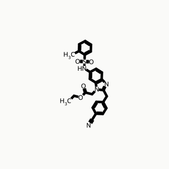 CCOC(=O)Cn1c(Cc2ccc(C#N)cc2)nc2ccc(NS(=O)(=O)c3ccccc3C)cc21